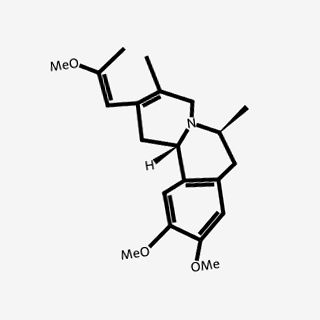 CO/C(C)=C/C1=C(C)CN2[C@@H](C)Cc3cc(OC)c(OC)cc3[C@@H]2C1